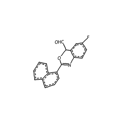 O=CC1OC(c2cccc3ccccc23)=Nc2ccc(F)cc21